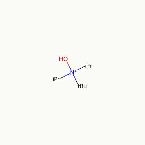 CC(C)[N+](O)(C(C)C)C(C)(C)C